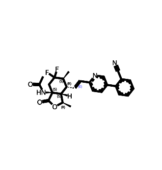 CC(=O)N[C@@]12CC(F)(F)[C@@H](C)[C@H](/C=C/c3ccc(-c4ccccc4C#N)cn3)[C@@H]1[C@@H](C)OC2=O